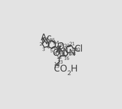 CC(=O)N1CCc2cc(S(=O)(=O)n3c(CCCC(=O)O)cc4nc(Cl)ccc43)ccc21